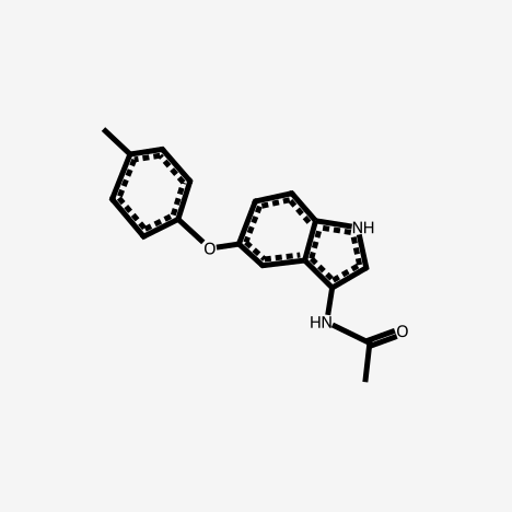 CC(=O)Nc1c[nH]c2ccc(Oc3ccc(C)cc3)cc12